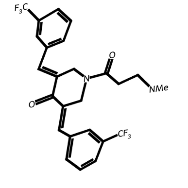 CNCCC(=O)N1C/C(=C\c2cccc(C(F)(F)F)c2)C(=O)/C(=C/c2cccc(C(F)(F)F)c2)C1